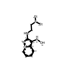 CCN(CC)CCNc1nn2ccccc2c1NO